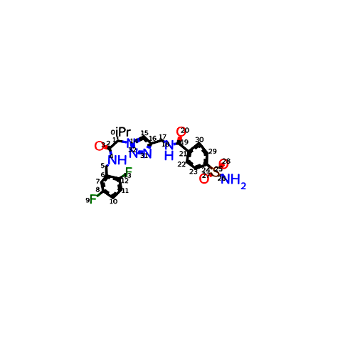 CC(C)[C@@H](C(=O)NCc1cc(F)ccc1F)n1cc(CNC(=O)c2ccc(S(N)(=O)=O)cc2)nn1